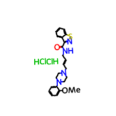 COc1ccccc1N1CCN(CC=CCNC(=O)c2nsc3ccccc23)CC1.Cl.Cl